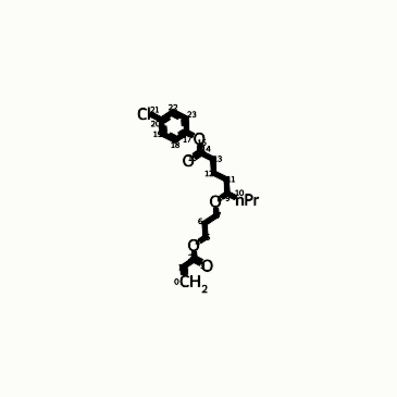 C=CC(=O)OCCCOC(CCC)CCCC(=O)Oc1ccc(Cl)cc1